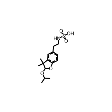 CC(C)OC1Oc2ccc(CCNS(=O)(=O)O)cc2C1(C)C